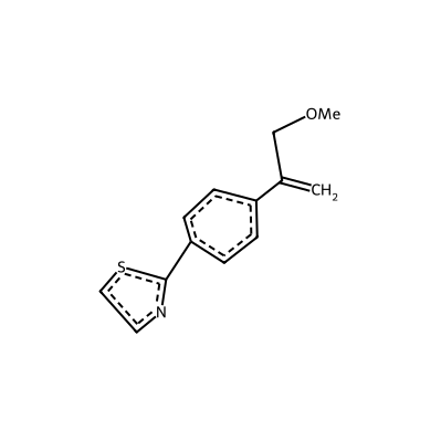 C=C(COC)c1ccc(-c2nccs2)cc1